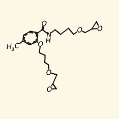 Cc1ccc(C(=O)NCCCCOCC2CO2)c(OCCCCOCC2CO2)c1